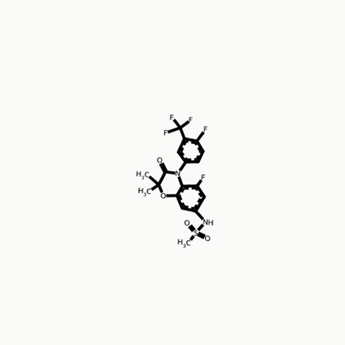 CC1(C)Oc2cc(NS(C)(=O)=O)cc(F)c2N(c2ccc(F)c(C(F)(F)F)c2)C1=O